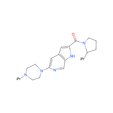 CC(C)C1CCCN1C(=O)c1cc2cc(N3CCN(C(C)C)CC3)ncc2[nH]1